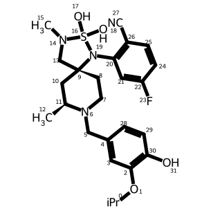 CC(C)Oc1cc(CN2CC[C@@]3(C[C@@H]2C)CN(C)S(O)(O)N3c2cc(F)ccc2C#N)ccc1O